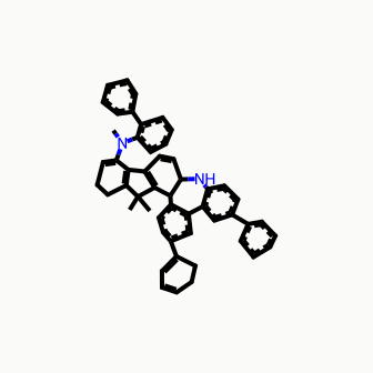 CN(C1=CCCC2=C1C1=C(C3c4ccc(C5=CC=CCC5)cc4-c4cc(-c5ccccc5)ccc4NC3C=C1)C2(C)C)c1ccccc1-c1ccccc1